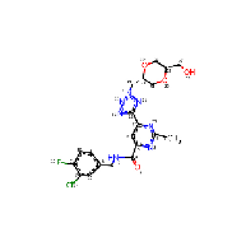 Cc1nc(C(=O)NCc2ccc(F)c(Cl)c2)cc(-c2nnn(C[C@H]3CO[C@H](CO)CO3)n2)n1